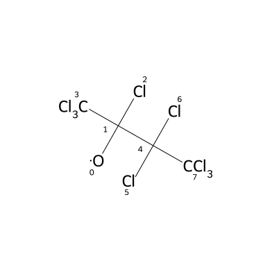 [O]C(Cl)(C(Cl)(Cl)Cl)C(Cl)(Cl)C(Cl)(Cl)Cl